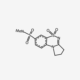 CNS(=O)(=O)c1ccc2c(c1)S(=O)(=O)N=C1CCCN12